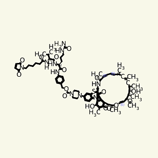 CO[C@H]1/C=C/O[C@@]2(C)Oc3c(C)c(O)c4c(=O)c(c5sc6cc(N7CCN(C(=O)OCc8ccc(NC(=O)[C@H](CCCNC(N)=O)NC(=O)[C@@H](NC(=O)CCCCCN9C(=O)C=CC9=O)C(C)C)cc8)CC7)ccc6nc-5c4c3C2=O)NC(=O)/C(C)=C\C=C\[C@H](C)C[C@@H](C)C[C@@H](C)[C@H](O)[C@@H]1C